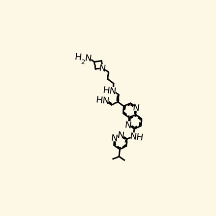 CC(C)c1cnnc(Nc2ccc3ncc(/C(C=N)=C/NCCCN4CC(N)C4)cc3n2)c1